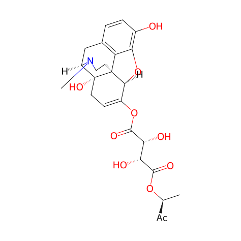 CC(=O)[C@H](C)OC(=O)[C@H](O)[C@@H](O)C(=O)OC1=CC[C@@]2(O)[C@H]3Cc4ccc(O)c5c4[C@@]2(CCN3C)[C@H]1O5